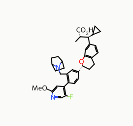 COc1cc(-c2ccc([C@H]3CCc4ccc([C@H](C5CC5)[C@H](C)C(=O)O)cc4O3)cc2CN2C3CCC2CC3)c(F)cn1